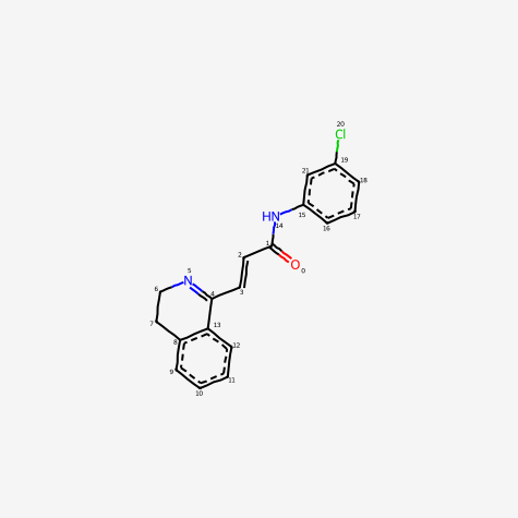 O=C(C=CC1=NCCc2ccccc21)Nc1cccc(Cl)c1